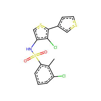 Cc1c(Cl)cccc1S(=O)(=O)Nc1csc(-c2ccsc2)c1Cl